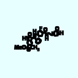 COC(=O)c1cc2c(cc1C)/C(=C(/Nc1ccc(C(=O)NCCN3CCNC(=O)C3)c(F)c1)c1ccccc1)C(=O)N2